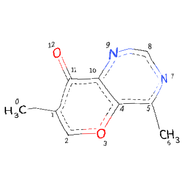 Cc1coc2c(C)ncnc2c1=O